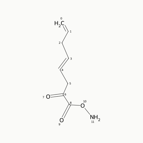 C=CCC=CCC(=O)C(=O)ON